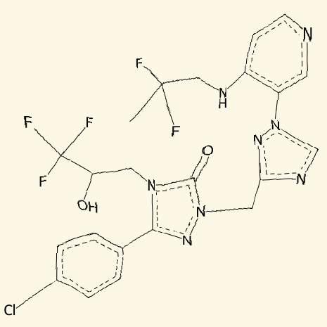 CC(F)(F)CNc1ccncc1-n1cnc(Cn2nc(-c3ccc(Cl)cc3)n(CC(O)C(F)(F)F)c2=O)n1